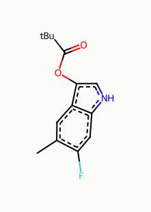 Cc1cc2c(OC(=O)C(C)(C)C)c[nH]c2cc1F